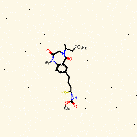 CCOC(=O)CC(C)N1CC(=O)N(C(C)C)c2ccc(CCCC(S)NC(=O)OC(C)(C)C)cc2C1=O